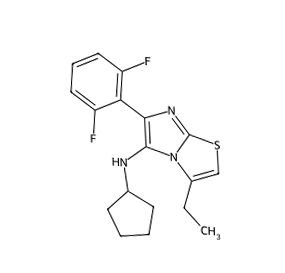 CCc1csc2nc(-c3c(F)cccc3F)c(NC3CCCC3)n12